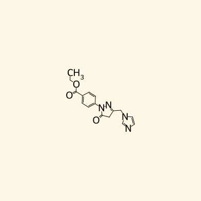 CCOC(=O)c1ccc(N2N=C(Cn3ccnc3)CC2=O)cc1